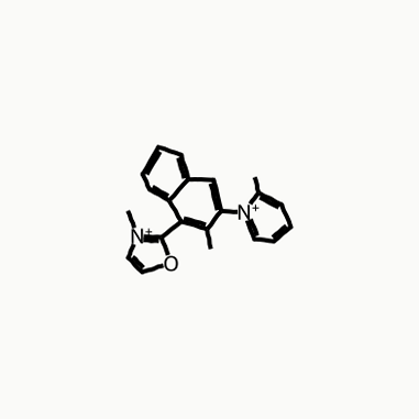 Cc1c(-[n+]2ccccc2C)cc2ccccc2c1-c1occ[n+]1C